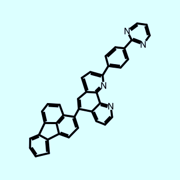 c1cnc(-c2ccc(-c3ccc4cc(-c5ccc6c7c(cccc57)-c5ccccc5-6)c5cccnc5c4n3)cc2)nc1